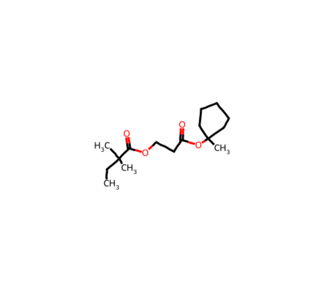 CCC(C)(C)C(=O)OCCC(=O)OC1(C)CCCCC1